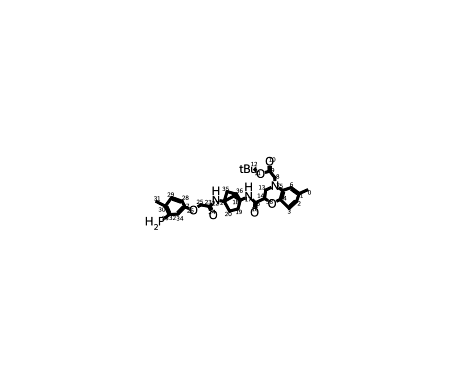 Cc1ccc2c(c1)N(CC(=O)OC(C)(C)C)CC(C(=O)NC13CCC(NC(=O)COc4ccc(C)c(P)c4)(CC1)C3)O2